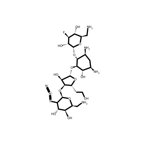 [N-]=[N+]=NC1[C@@H](O[C@H]2[C@@H](O)[C@H](O[C@@H]3[C@@H](O)[C@H](N)C[C@H](N)[C@H]3O[C@H]3O[C@H](CN)[C@@H](O)[C@H](F)[C@H]3O)O[C@@H]2CCO)O[C@@H](CN)[C@@H](O)[C@@H]1O